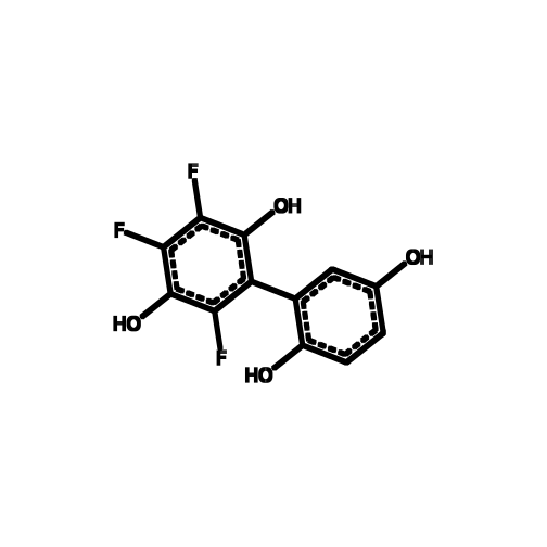 Oc1ccc(O)c(-c2c(O)c(F)c(F)c(O)c2F)c1